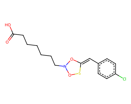 O=C(O)CCCCCCN1OS/C(=C\c2ccc(Cl)cc2)O1